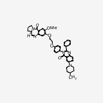 COc1cc2c(cc1OCCOc1ccc(-n3c(-c4ccccc4)nc4ccc(N5CCC(C)CC5)cc4c3=O)cc1)N=C[C@@H]1CCCN1C2=O